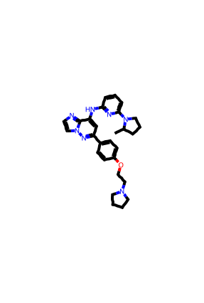 CC1CCCN1c1cccc(Nc2cc(-c3ccc(OCCN4CCCC4)cc3)nn3ccnc23)n1